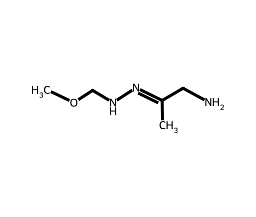 COCN/N=C(\C)CN